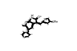 CSc1csc(C=C2C(=O)Nc3nc(C)c(-c4ccncc4)cc32)c1